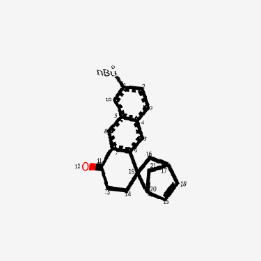 CCCCc1ccc2cc3c(cc2c1)C(=O)CCC31CC2C=CC1C2